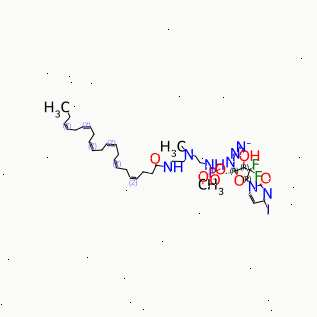 CC/C=C\C/C=C\C/C=C\C/C=C\C/C=C\C/C=C\CCC(=O)NCCN(C)CCNP(=O)(OC)OC[C@@]1(N=[N+]=[N-])O[C@@H](n2ccc(I)nc2=O)C(F)(F)[C@@H]1O